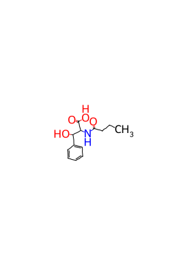 CCCC(=O)NC(C(=O)O)C(O)c1ccccc1